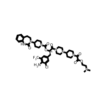 CN(C)CCOC(=O)C(=O)N1CCC(N2CCN(C(=O)[C@@H](Cc3cc(Cl)c(N)c(C(F)(F)F)c3)OC(=O)N3CCC(N4CCc5ccccc5NC4=O)CC3)CC2)CC1